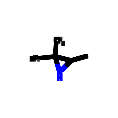 CCCC1(C(F)(F)F)NC1C